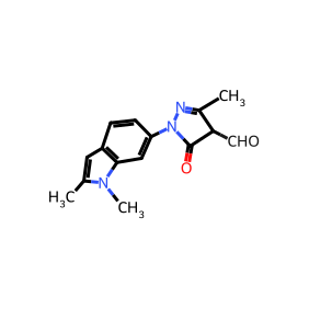 CC1=NN(c2ccc3cc(C)n(C)c3c2)C(=O)C1C=O